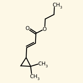 CCCOC(=O)C=CC1CC1(C)C